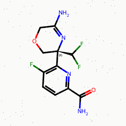 NC(=O)c1ccc(F)c([C@]2(C(F)F)COCC(N)=N2)n1